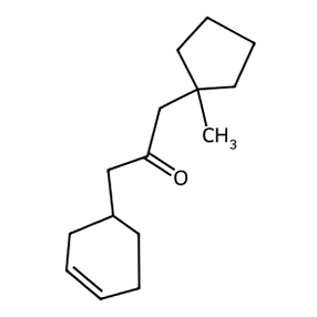 CC1(CC(=O)CC2CC=CCC2)CCCC1